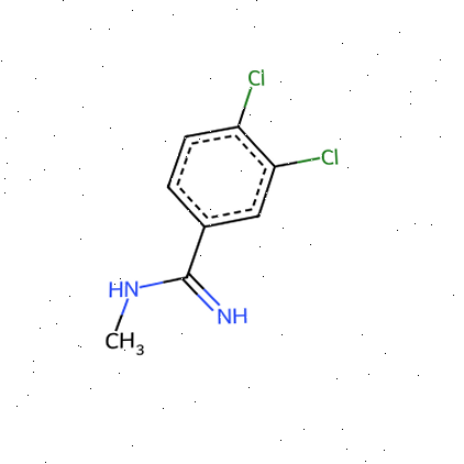 CNC(=N)c1ccc(Cl)c(Cl)c1